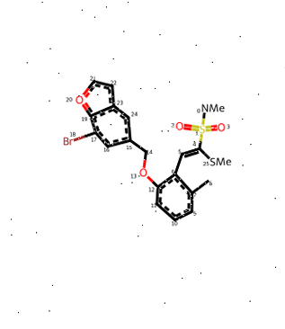 CNS(=O)(=O)/C(=C/c1c(C)cccc1OCc1cc(Br)c2occc2c1)SC